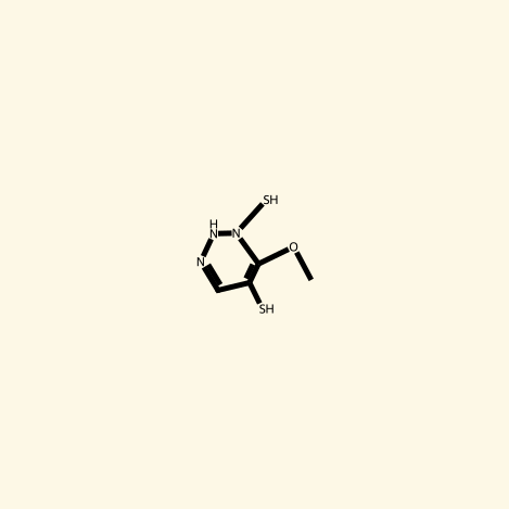 COC1=C(S)C=NNN1S